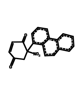 O=C1C=CC(=O)C(c2cccc3c2ccc2ccccc23)([N+](=O)[O-])C1